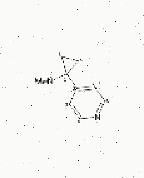 CNC1(c2ccncn2)CC1